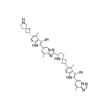 Cc1c(C2CC3(CCC(c4nc5c(C)cc(-c6[nH]c7sc([C@H]8C[C@]9(CCNC9)C8)c(C)c7c6C(C)C)cn5n4)N3)C2)sc2[nH]c(-c3cc(C)c4ncnn4c3)c(C(C)C)c12